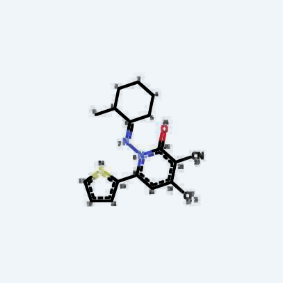 CC1CCCC/C1=N\n1c(-c2cccs2)cc(C(F)(F)F)c(C#N)c1=O